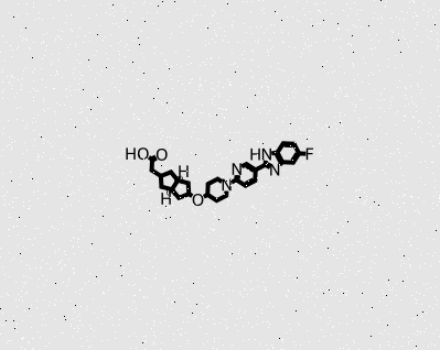 O=C(O)CC1C[C@@H]2CC(OC3CCN(c4ccc(-c5nc6cc(F)ccc6[nH]5)cn4)CC3)C[C@@H]2C1